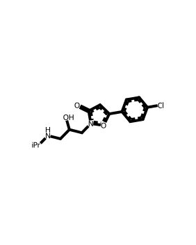 CC(C)NCC(O)Cn1oc(-c2ccc(Cl)cc2)cc1=O